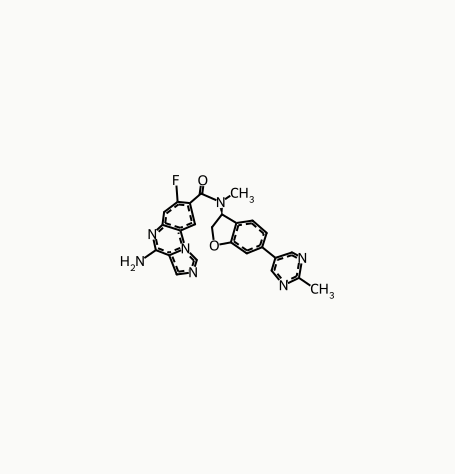 Cc1ncc(-c2ccc3c(c2)OC[C@H]3N(C)C(=O)c2cc3c(cc2F)nc(N)c2cncn23)cn1